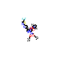 CC(C)(C)OC(=O)N1[C@@H]2CC[C@H]1C[C@@H](c1cc(N(COCC[Si](C)(C)C)COCC[Si](C)(C)C)n3ncc(-c4ccc(-c5ncc(C(F)F)s5)nc4)c3n1)C2